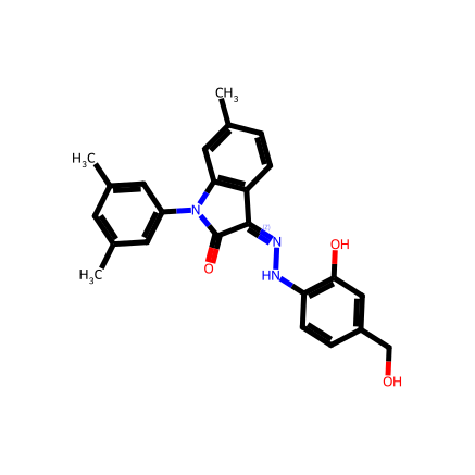 Cc1cc(C)cc(N2C(=O)/C(=N\Nc3ccc(CO)cc3O)c3ccc(C)cc32)c1